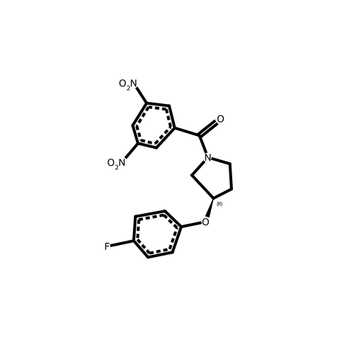 O=C(c1cc([N+](=O)[O-])cc([N+](=O)[O-])c1)N1CC[C@@H](Oc2ccc(F)cc2)C1